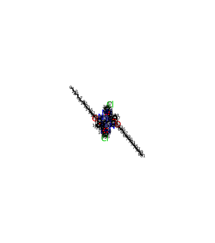 CCCCCCCCCCCCCCCCCCCCOc1ccc(-c2c3/c(=C(\C#N)c4cnc5cc(Cl)ccc5n4)n(B(c4ccccc4)c4ccccc4)c(-c4ccc(OCCCCCCCCCCCCCCCCCCCC)cc4)c3/c(=C(\C#N)c3cnc4cc(Cl)ccc4n3)n2B(c2ccccc2)c2ccccc2)cc1